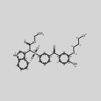 CCOC(=O)C(c1c[nH]c2ccccc12)S(=O)(=O)c1cccc(C(=O)c2ccc(O)c(OCCCCl)c2)c1